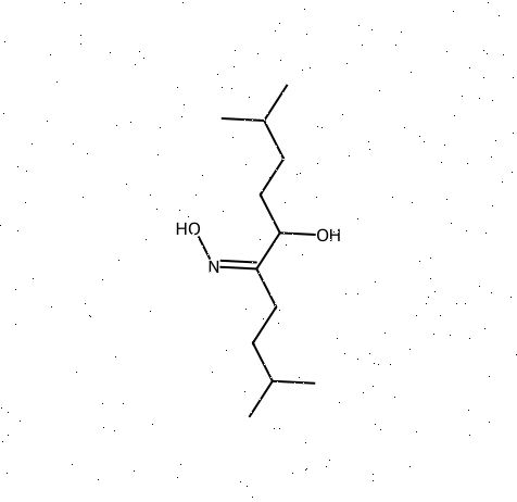 CC(C)CCC(=NO)C(O)CCC(C)C